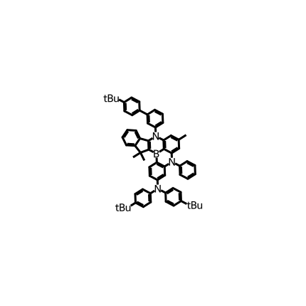 Cc1cc2c3c(c1)N(c1ccccc1)c1cc(N(c4ccc(C(C)(C)C)cc4)c4ccc(C(C)(C)C)cc4)ccc1B3C1=C(c3ccccc3C1(C)C)N2c1cccc(-c2ccc(C(C)(C)C)cc2)c1